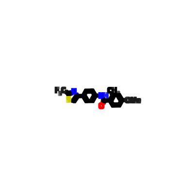 COc1ccc(C(=O)Nc2ccc(-c3csc(C(F)(F)F)n3)cc2)c(C)c1